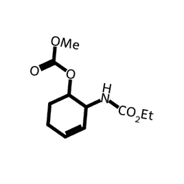 CCOC(=O)NC1C=CCCC1OC(=O)OC